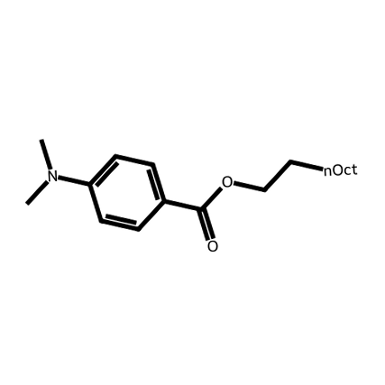 CCCCCCCCCCOC(=O)c1ccc(N(C)C)cc1